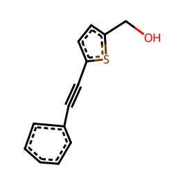 OCc1ccc(C#Cc2ccccc2)s1